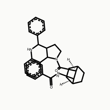 O=C(N[C@@H]1C2CCC(CC2)[C@@H]1C(=O)N1CCC2C(c3ccccc3)Nc3ccccc3C21)c1ccccc1